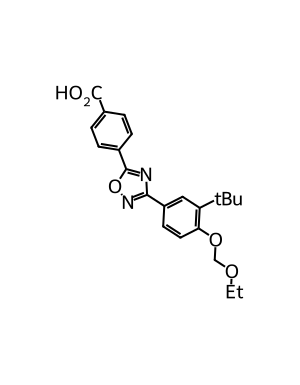 CCOCOc1ccc(-c2noc(-c3ccc(C(=O)O)cc3)n2)cc1C(C)(C)C